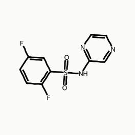 O=S(=O)(Nc1cnccn1)c1cc(F)ccc1F